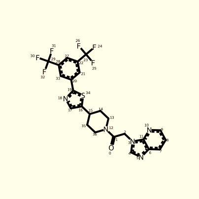 O=C(Cn1cnc2cccnc21)N1CCC(c2cnc(-c3cc(C(F)(F)F)cc(C(F)(F)F)c3)s2)CC1